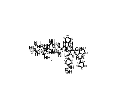 N=C(N)NC(NC(=O)C(NC(=N)N)NC(=O)C(NC(=N)N)NC(=O)C(NC(=N)N)NC(=O)C(NC(=O)C(O)N(C/C=C\c1ccc(NOO)cc1)c1nc(-c2ccccc2)nc2ccccc12)c1ccccc1)C(N)=O